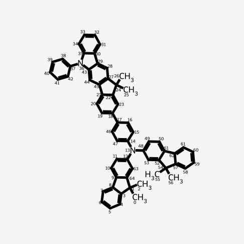 CC1(C)c2ccccc2-c2ccc(N(c3ccc(-c4ccc5c(c4)C(C)(C)c4cc6c7ccccc7n(-c7ccccc7)c6cc4-5)cc3)c3ccc4c(c3)C(C)(C)c3ccccc3-4)cc21